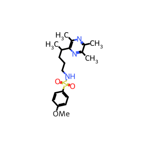 COc1ccc(S(=O)(=O)NCCCC(C)c2nc(C)c(C)nc2C)cc1